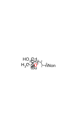 CCCCCCCCCCCC(CC(=O)O)O[Si](C)(C)C(C)(C)C